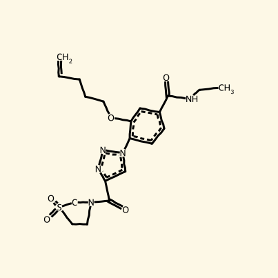 C=CCCCOc1cc(C(=O)NCC)ccc1-n1cc(C(=O)N2CCS(=O)(=O)C2)nn1